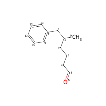 CC(CCCC=O)Cc1ccccc1